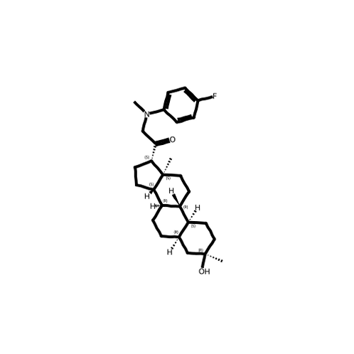 CN(CC(=O)[C@H]1CC[C@H]2[C@@H]3CC[C@@H]4C[C@](C)(O)CC[C@@H]4[C@H]3CC[C@]12C)c1ccc(F)cc1